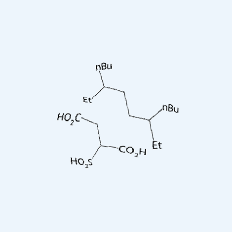 CCCCC(CC)CCC(CC)CCCC.O=C(O)CC(C(=O)O)S(=O)(=O)O